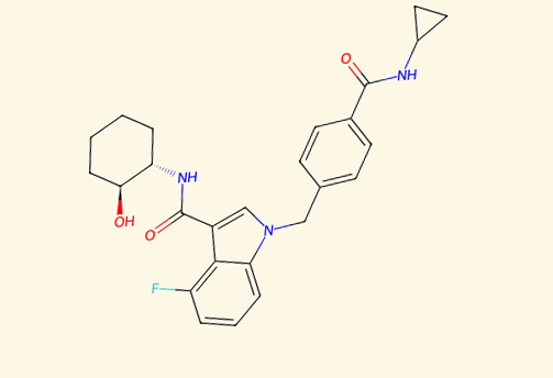 O=C(NC1CC1)c1ccc(Cn2cc(C(=O)N[C@H]3CCCC[C@@H]3O)c3c(F)cccc32)cc1